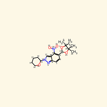 CC1(C)OB(c2ccc3nn(C4CCCCO4)cc3c2[N+](=O)[O-])OC1(C)C